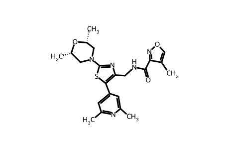 Cc1cc(-c2sc(N3C[C@@H](C)O[C@@H](C)C3)nc2CNC(=O)c2nocc2C)cc(C)n1